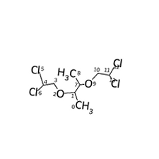 CC(OCC(Cl)Cl)C(C)OCC(Cl)Cl